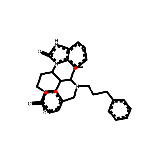 CCC(C1CN(C(=O)O)CCC1n1c(=O)[nH]c2ccccc21)N(CCCc1ccccc1)Cc1ccccc1